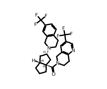 O=C(N1CCc2ncc(C(F)(F)F)cc2C1)[C@@]12CCC[C@@H]1C[C@H](N1CCc3ccc(C(F)(F)F)cc3C1)C2